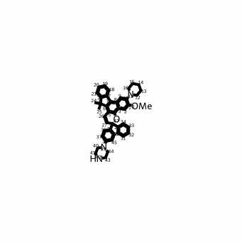 COc1cc2c3c(c4c(c2cc1N1CCCCC1)-c1ccccc1C4(C)C)C=CC(c1ccccc1)(c1ccc(N2CCNCC2)cc1)O3